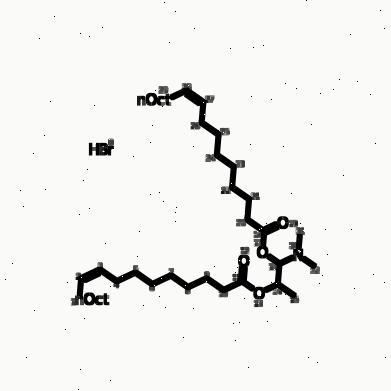 Br.CCCCCCCC/C=C\CCCCCCCC(=O)OC(C)C(OC(=O)CCCCCCC/C=C\CCCCCCCC)N(C)C